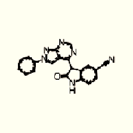 N#Cc1ccc2c(c1)C(c1ncnc3nn(-c4ccccc4)cc13)C(=O)N2